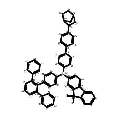 CC1(C)c2ccccc2-c2ccc(N(c3ccc(-c4ccc(C5CC6CCC5C6)cc4)cc3)c3ccc(-c4c(-c5ccccc5)cccc4-c4ccccc4)cc3)cc21